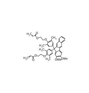 C=CC(=O)OCCOc1c(C)cc(C2(c3cc(C)c(OCCOC(=O)C=C)c(C)c3)c3cc(OC)c(OC)cc3-c3cc4ccccc4cc32)cc1C